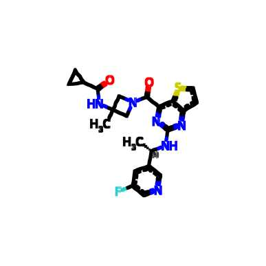 C[C@H](Nc1nc(C(=O)N2CC(C)(NC(=O)C3CC3)C2)c2sccc2n1)c1cncc(F)c1